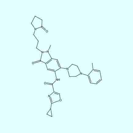 Cc1ccccc1N1CCN(c2cc3c(cc2NC(=O)c2coc(C4CC4)n2)c(=O)n(CCCN2CCCC2=O)n3C)CC1